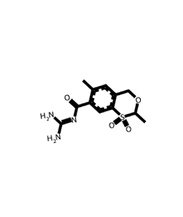 Cc1cc2c(cc1C(=O)N=C(N)N)S(=O)(=O)C(C)OC2